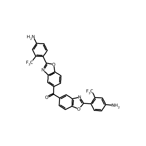 Nc1ccc(-c2nc3cc(C(=O)c4ccc5oc(-c6ccc(N)cc6C(F)(F)F)nc5c4)ccc3o2)c(C(F)(F)F)c1